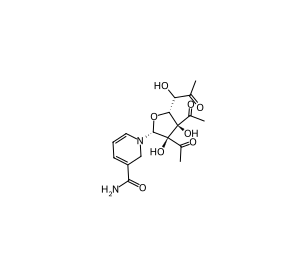 CC(=O)C(O)[C@H]1O[C@@H](N2C=CC=C(C(N)=O)C2)[C@@](O)(C(C)=O)[C@@]1(O)C(C)=O